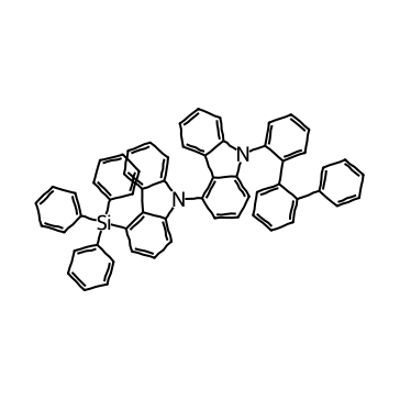 c1ccc(-c2ccccc2-c2ccccc2-n2c3ccccc3c3c(-n4c5ccccc5c5c([Si](c6ccccc6)(c6ccccc6)c6ccccc6)cccc54)cccc32)cc1